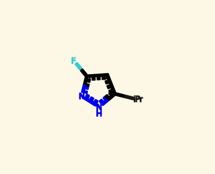 CC(C)c1cc(F)n[nH]1